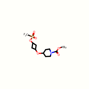 CC(C)(C)OC(=O)N1CCC(OC2CC(OS(=O)(=O)C(F)(F)F)C2)CC1